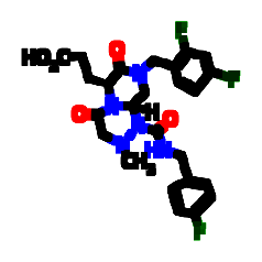 CN1CC(=O)N2[C@@H](CCC(=O)O)C(=O)N(Cc3ccc(F)cc3F)C[C@@H]2N1C(=O)NCc1ccc(F)cc1